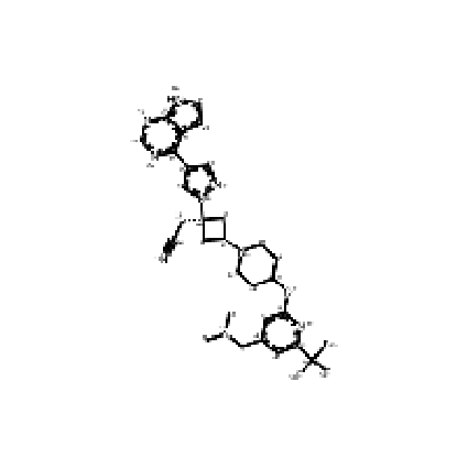 CN(C)Cc1cc(OC2CCN([C@H]3C[C@@](CC#N)(n4cc(-c5ncnc6[nH]ccc56)cn4)C3)CC2)nc(C(F)(F)F)c1